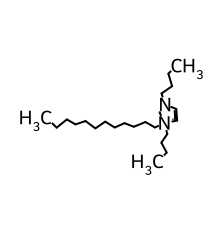 CCCCCCCCCCCC[N+]1(CCCC)C=CN(CCCC)C1